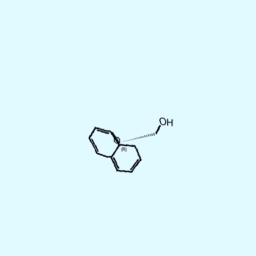 OC[C@H]1CCC2=CC=CC3=CC=CCC32O1